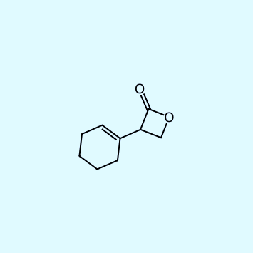 O=C1OCC1C1=CCCCC1